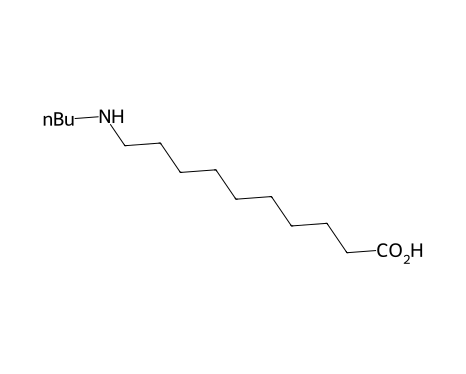 CCCCNCCCCCCCCCC(=O)O